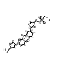 Cn1cc(-n2ccc(=O)c(Cc3cccc(-c4ncn(CCS(C)(=O)=O)n4)c3)n2)cn1